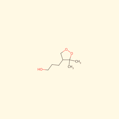 CC1(C)OOCC1CCCO